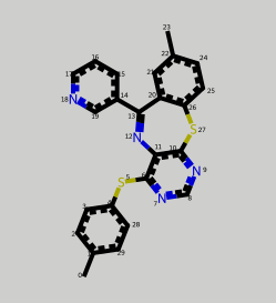 Cc1ccc(Sc2ncnc3c2N=C(c2cccnc2)c2cc(C)ccc2S3)cc1